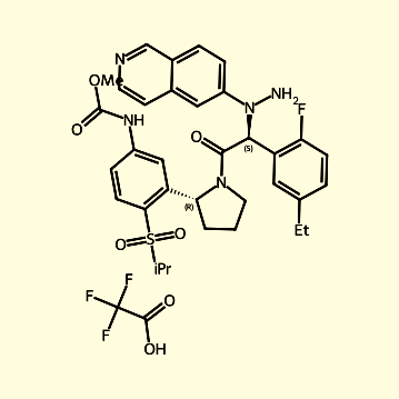 CCc1ccc(F)c([C@@H](C(=O)N2CCC[C@@H]2c2cc(NC(=O)OC)ccc2S(=O)(=O)C(C)C)N(N)c2ccc3cnccc3c2)c1.O=C(O)C(F)(F)F